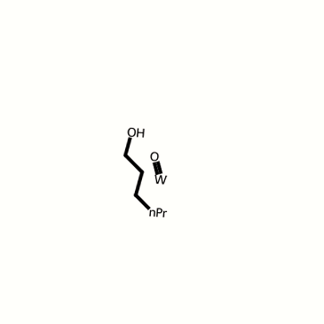 CCCCCCO.[O]=[W]